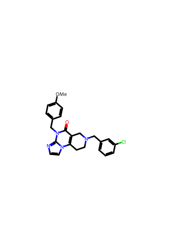 COc1ccc(Cn2c(=O)c3c(n4ccnc24)CCN(Cc2cccc(Cl)c2)C3)cc1